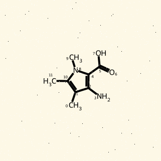 Cc1c(N)c(C(=O)O)n(C)c1C